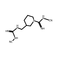 N#CNC(=N)NCC1CCCN(C(=N)NC#N)C1